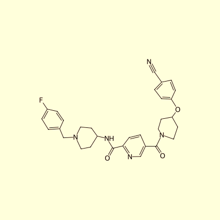 N#Cc1ccc(OC2CCN(C(=O)c3ccc(C(=O)NC4CCN(Cc5ccc(F)cc5)CC4)nc3)CC2)cc1